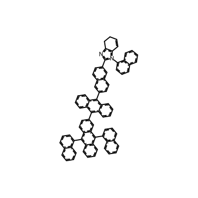 C1=Cc2c(nc(-c3ccc4cc(-c5c6ccccc6c(-c6ccc7c(-c8cccc9ccccc89)c8ccccc8c(-c8cccc9ccccc89)c7c6)c6ccccc56)ccc4c3)n2-c2cccc3ccccc23)CC1